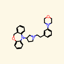 c1cc(CCN2CCC(N3c4ccccc4COc4ccccc43)C2)cc(N2CCOCC2)c1